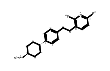 CCCCC[C@H]1CC[C@H](c2ccc(CCc3ccc(F)nc3F)cc2)CC1